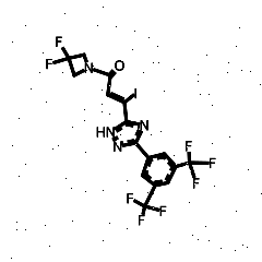 O=C(/C=C(\I)c1nc(-c2cc(C(F)(F)F)cc(C(F)(F)F)c2)n[nH]1)N1CC(F)(F)C1